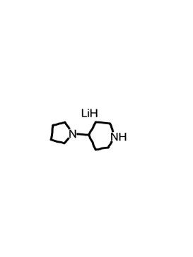 C1CCN(C2CCNCC2)C1.[LiH]